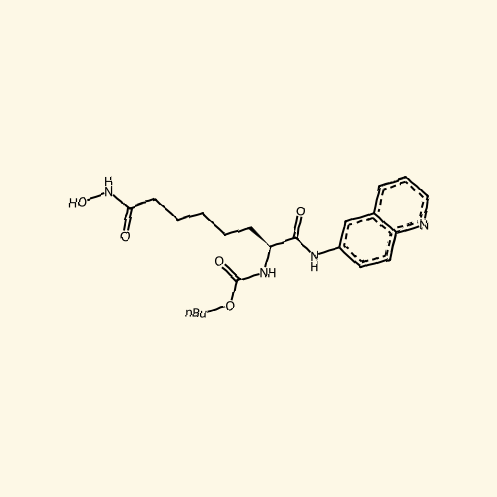 CCCCOC(=O)N[C@@H](CCCCCC(=O)NO)C(=O)Nc1ccc2ncccc2c1